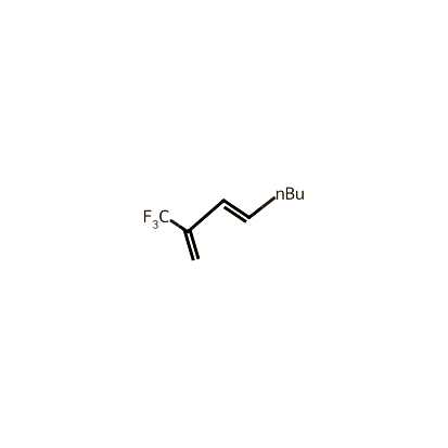 C=C(/C=C/CCCC)C(F)(F)F